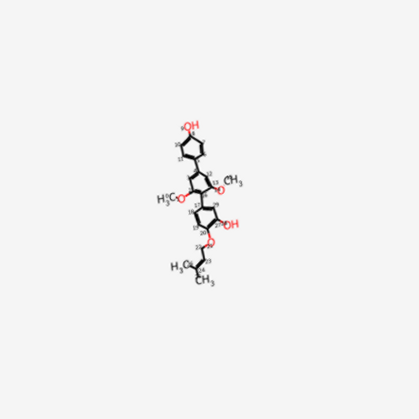 COc1cc(-c2ccc(O)cc2)cc(OC)c1-c1ccc(OCC=C(C)C)c(O)c1